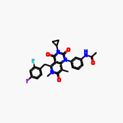 CC(=O)Nc1cccc(-n2c(=O)n(C3CC3)c(=O)c3c(Cc4ccc(I)cc4F)n(C)c(=O)c(C)c32)c1